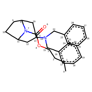 CCCCOC(=O)N1C2CCC1CC(N(Cc1ccccc1)Cc1ccccc1)C2